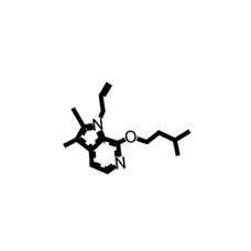 C=CCn1c(C)c(C)c2ccnc(OCCC(C)C)c21